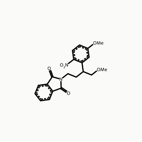 COCC(CCN1C(=O)c2ccccc2C1=O)c1cc(OC)ccc1[N+](=O)[O-]